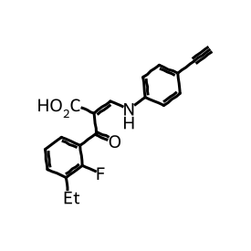 C#Cc1ccc(NC=C(C(=O)O)C(=O)c2cccc(CC)c2F)cc1